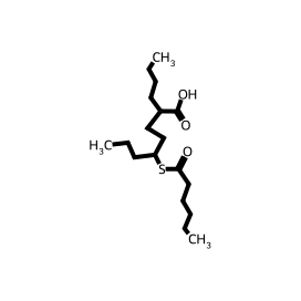 CCCCCC(=O)SC(CCC)CCC(CCCC)C(=O)O